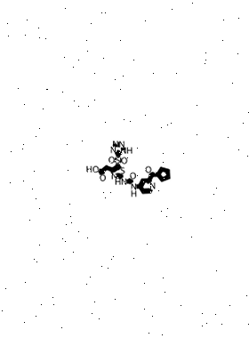 O=C(O)Cc1nc(NC(=O)Nc2ccnc(C(=O)C3CCCC3)c2)sc1S(=O)(=O)c1nnn[nH]1